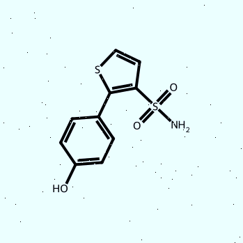 NS(=O)(=O)c1ccsc1-c1ccc(O)cc1